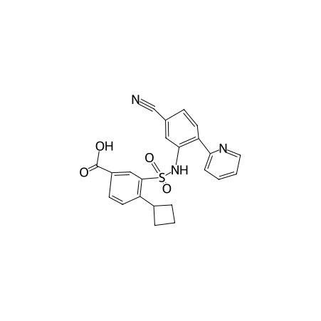 N#Cc1ccc(-c2ccccn2)c(NS(=O)(=O)c2cc(C(=O)O)ccc2C2CCC2)c1